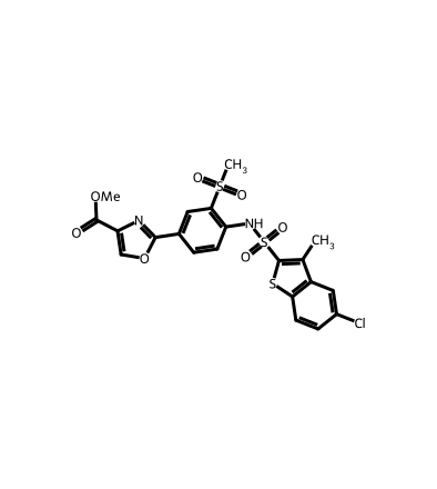 COC(=O)c1coc(-c2ccc(NS(=O)(=O)c3sc4ccc(Cl)cc4c3C)c(S(C)(=O)=O)c2)n1